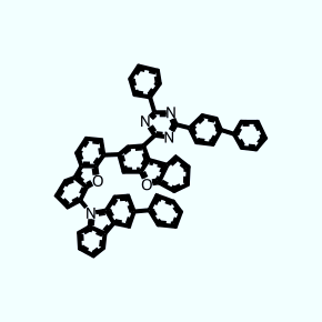 c1ccc(-c2ccc(-c3nc(-c4ccccc4)nc(-c4cc(-c5cccc6c5oc5c(-n7c8ccccc8c8cc(-c9ccccc9)ccc87)cccc56)cc5oc6ccccc6c45)n3)cc2)cc1